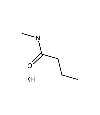 CCCC(=O)[N]C.[KH]